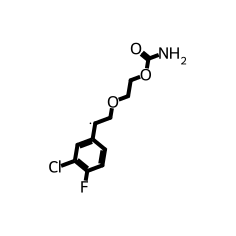 NC(=O)OCCOC[CH]c1ccc(F)c(Cl)c1